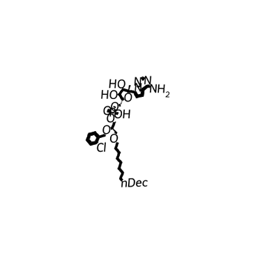 CCCCCCCCCCCCCCCCCCOC[C@H](COP(=O)(O)OC[C@H]1O[C@@](C)(c2ccc3c(N)ncnn23)[C@H](O)[C@@H]1O)OCc1ccccc1Cl